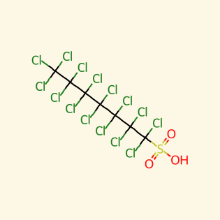 O=S(=O)(O)C(Cl)(Cl)C(Cl)(Cl)C(Cl)(Cl)C(Cl)(Cl)C(Cl)(Cl)C(Cl)(Cl)C(Cl)(Cl)Cl